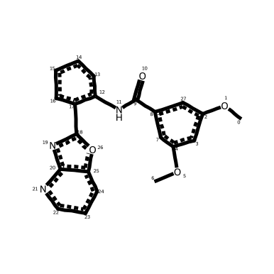 COc1cc(OC)cc(C(=O)Nc2ccccc2-c2nc3ncccc3o2)c1